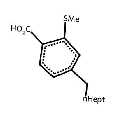 CCCCCCCCc1ccc(C(=O)O)c(SC)c1